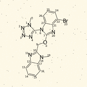 Cn1nnnc1-n1c(OCc2nc3ccccc3n2C)nc2c(Br)cccc21